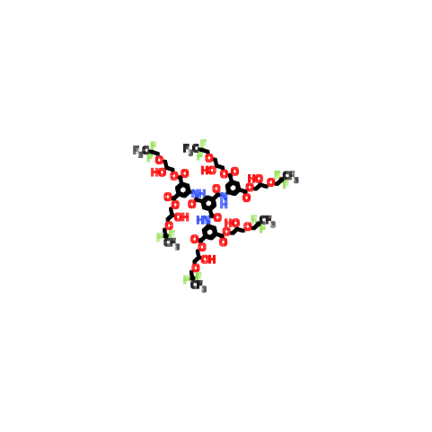 O=C(Nc1cc(C(=O)OCC(O)COCC(F)(F)C(F)(F)F)cc(C(=O)OCC(O)COCC(F)(F)C(F)(F)F)c1)c1cc(C(=O)Nc2cc(C(=O)OCC(O)COCC(F)(F)C(F)(F)F)cc(C(=O)OCC(O)COCC(F)(F)C(F)(F)F)c2)cc(C(=O)Nc2cc(C(=O)OCC(O)COCC(F)(F)C(F)(F)F)cc(C(=O)OCC(O)COCC(F)(F)C(F)(F)F)c2)c1